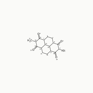 CCC1C(=O)C2CCC3C(=O)C(C)C(=O)C4CCC(C1=O)C2C34